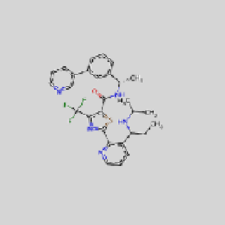 CCC(NC(C)C)c1cccnc1-c1nc(C(F)(F)F)c(C(=O)N[C@@H](C)c2cccc(-c3cccnc3)c2)s1